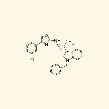 C/C(=N\Nc1nc(-c2cccc(Cl)c2)cs1)C1CN(Cc2ccccc2)c2ccccc21